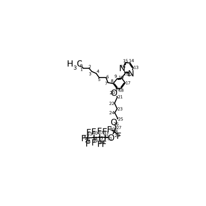 CCCCCCCCc1cc(-c2ncccn2)ccc1OCCCCCOCC(F)(F)OC(F)(F)C(F)(F)C(F)(F)C(F)(F)F